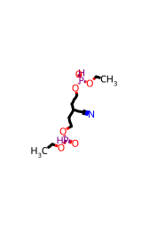 CCO[PH](=O)OCCC(C#N)CCO[PH](=O)OCC